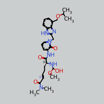 COC(O)N[C@@H](CC/C=C/C(=O)N(C)C)C(=O)Nc1cccn(Cc2nc3c(COC(C)C)cccc3[nH]2)c1=O